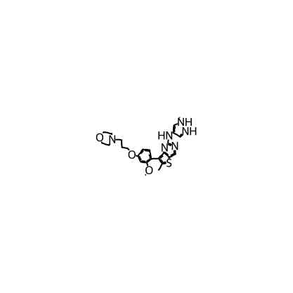 CN/C=C(\C=N)Nc1ncc2sc(C)c(-c3ccc(OCCCN4CCOCC4)cc3OC)c2n1